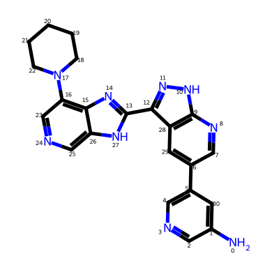 Nc1cncc(-c2cnc3[nH]nc(-c4nc5c(N6CCCCC6)cncc5[nH]4)c3c2)c1